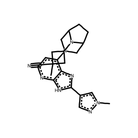 Cn1cc(-c2nc3c(N4CC5CCC(C4)N5C4CC(C)(C#N)C4)ccnc3[nH]2)cn1